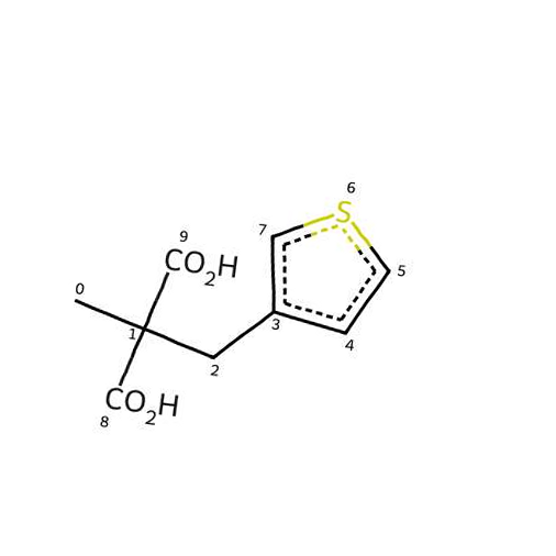 CC(Cc1ccsc1)(C(=O)O)C(=O)O